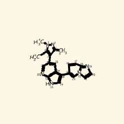 Cc1nn(C)c(C)c1-c1cnc2[nH]cc(-c3ccc4nccn4c3)c2c1